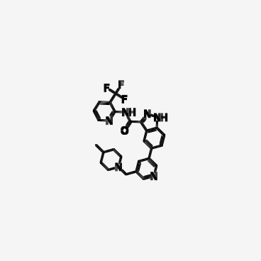 CC1CCN(Cc2cncc(-c3ccc4[nH]nc(C(=O)Nc5ncccc5C(F)(F)F)c4c3)c2)CC1